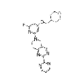 Fc1cc(OCC2CCOCC2)cc(N2CCc3nc(-c4ncccn4)ncc3C2)n1